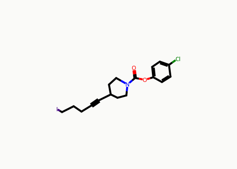 O=C(Oc1ccc(Cl)cc1)N1CCC(C#CCCCI)CC1